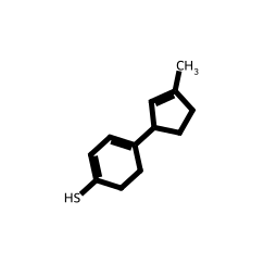 CC1=CC(C2=CC=C(S)CC2)CC1